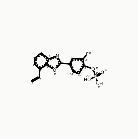 C=Cc1c[c]cc2nc(-c3ccc(OP(=O)(O)O)c(F)c3)oc12